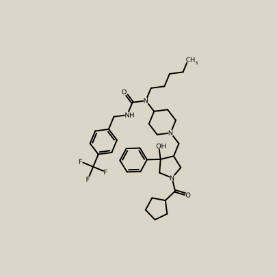 CCCCCN(C(=O)NCc1ccc(C(F)(F)F)cc1)C1CCN(CC2CN(C(=O)C3CCCC3)CC2(O)c2ccccc2)CC1